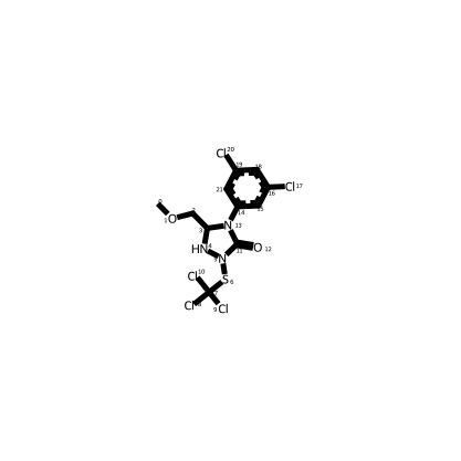 COCC1NN(SC(Cl)(Cl)Cl)C(=O)N1c1cc(Cl)cc(Cl)c1